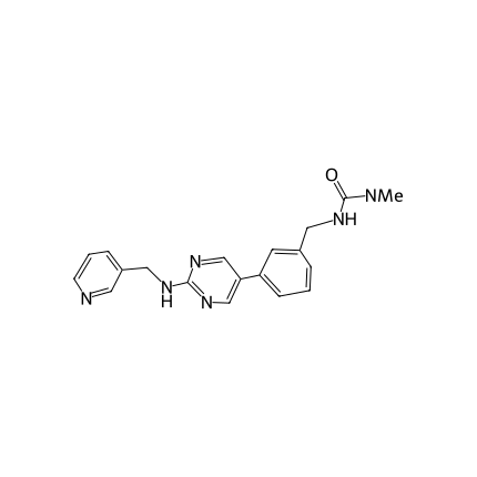 CNC(=O)NCc1cccc(-c2cnc(NCc3cccnc3)nc2)c1